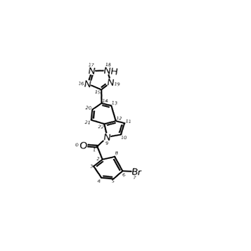 O=C(c1cccc(Br)c1)n1ccc2cc(-c3nn[nH]n3)ccc21